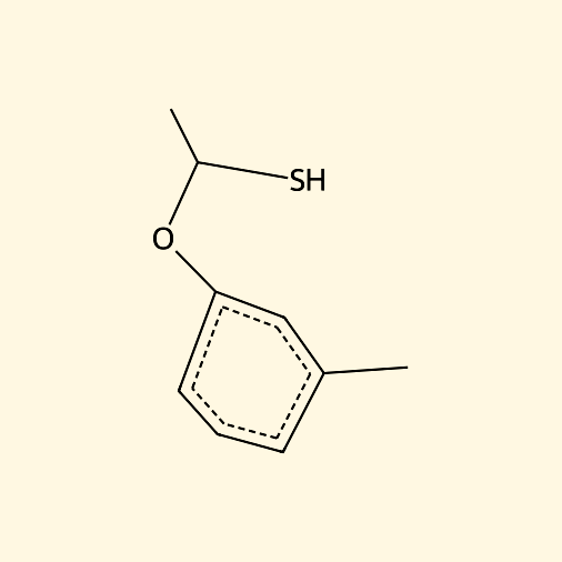 Cc1cccc(OC(C)S)c1